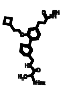 CCCCCCC(C)C(=O)NCc1cccc(-c2ccc(CCC(=O)NO)cc2OCCC2CCC2)c1